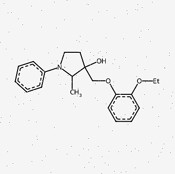 CCOc1ccccc1OCC1(O)CCN(c2ccccc2)C1C